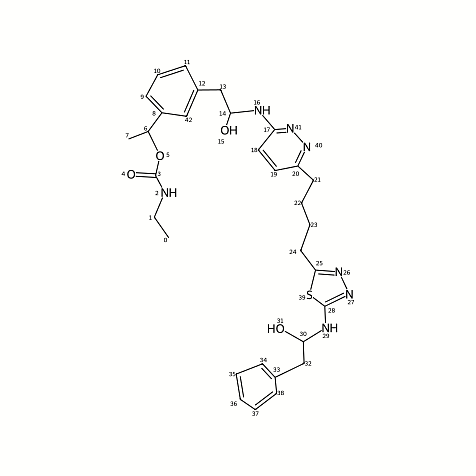 CCNC(=O)OC(C)c1cccc(CC(O)Nc2ccc(CCCCc3nnc(NC(O)Cc4ccccc4)s3)nn2)c1